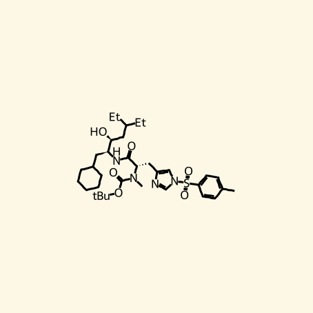 CCC(CC)C[C@H](O)[C@H](CC1CCCCC1)NC(=O)[C@H](Cc1cn(S(=O)(=O)c2ccc(C)cc2)cn1)N(C)C(=O)OC(C)(C)C